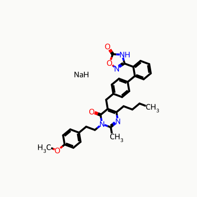 CCCCc1nc(C)n(CCc2ccc(OC)cc2)c(=O)c1Cc1ccc(-c2ccccc2-c2noc(=O)[nH]2)cc1.[NaH]